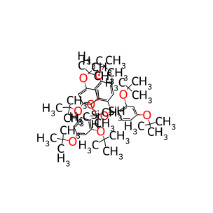 CC(C)(C)Oc1ccc([SiH](O[SiH](c2ccc(OC(C)(C)C)cc2OC(C)(C)C)c2ccc(OC(C)(C)C)cc2OC(C)(C)C)c2ccc(OC(C)(C)C)cc2OC(C)(C)C)c(OC(C)(C)C)c1